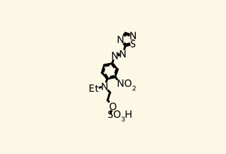 CCN(CCOS(=O)(=O)O)c1ccc(N=Nc2ncns2)cc1[N+](=O)[O-]